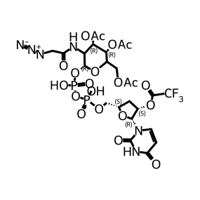 CC(=O)OCC1O[C@H](OP(=O)(O)OP(=O)(O)OC[C@@H]2C[C@H](OC(=O)C(F)(F)F)[C@H](n3ccc(=O)[nH]c3=O)O2)C(NC(=O)CN=[N+]=[N-])[C@@H](OC(C)=O)[C@H]1OC(C)=O